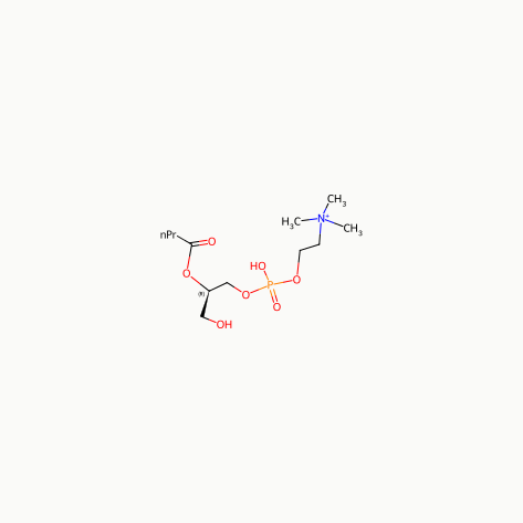 CCCC(=O)O[C@H](CO)COP(=O)(O)OCC[N+](C)(C)C